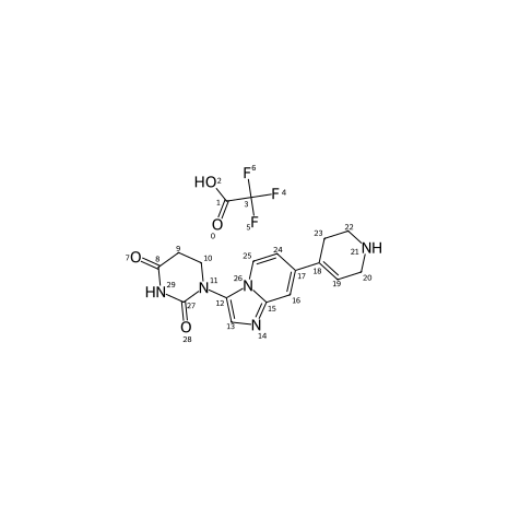 O=C(O)C(F)(F)F.O=C1CCN(c2cnc3cc(C4=CCNCC4)ccn23)C(=O)N1